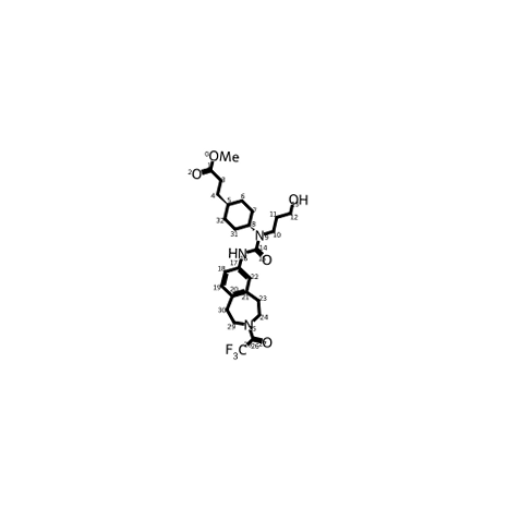 COC(=O)CC[C@H]1CC[C@H](N(CCCO)C(=O)Nc2ccc3c(c2)CCN(C(=O)C(F)(F)F)CC3)CC1